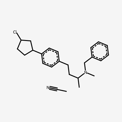 CC#N.CC(CCc1ccc(C2CCC(Cl)C2)cc1)N(C)Cc1ccccc1